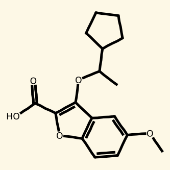 COc1ccc2oc(C(=O)O)c(OC(C)C3CCCC3)c2c1